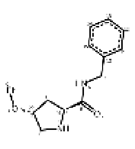 CCO[C@H]1CN[C@H](C(=O)NCc2ccccc2)C1